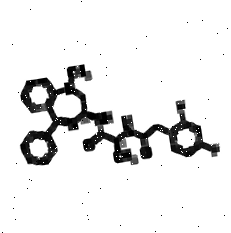 C[C@H](NC(=O)Cc1ccc(F)cc1F)C(=O)N[C@@H]1CN(C)c2ccccc2C(c2ccccc2)=N1